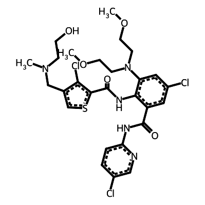 COCCN(CCOC)c1cc(Cl)cc(C(=O)Nc2ccc(Cl)cn2)c1NC(=O)c1scc(CN(C)CCO)c1Cl